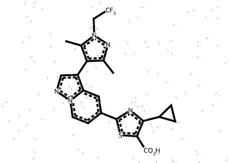 Cc1nn(CC(F)(F)F)c(C)c1-c1cnn2ccc(-c3nc(C4CC4)c(C(=O)O)s3)cc12